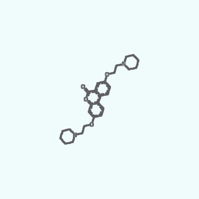 O=c1oc2cc(OCCN3CCCCC3)ccc2c2ccc(OCCN3CCCCC3)cc12